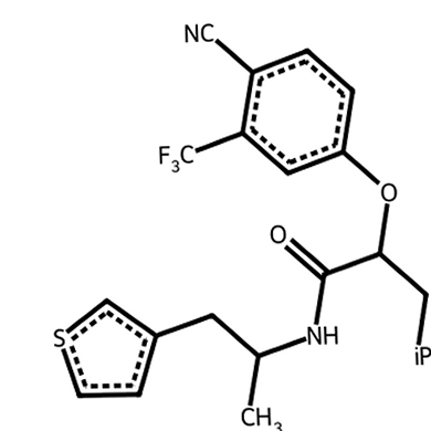 CC(C)CC(Oc1ccc(C#N)c(C(F)(F)F)c1)C(=O)NC(C)Cc1ccsc1